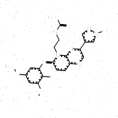 COc1cc(/N=c2\ccc3ncc(-c4cnn(C)c4)nc3n2CCNC(C)=O)c(F)c(OC)c1